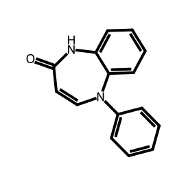 O=C1C=CN(c2ccccc2)c2ccccc2N1